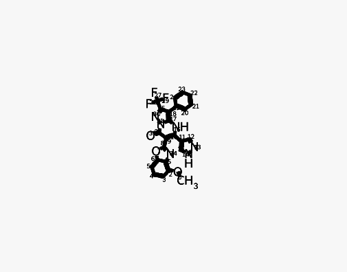 COc1cccc2oc(-c3c(-c4cn[nH]c4)[nH]c4c(-c5ccccc5)c(C(F)(F)F)nn4c3=O)nc12